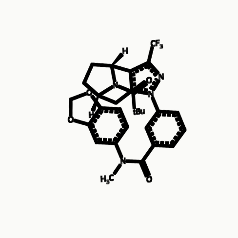 CN(C(=O)c1cccc(-n2nc(C(F)(F)F)c3c2C[C@@H]2CC[C@H]3N2C(=O)C(C)(C)C)c1)c1ccc2c(c1)OCO2